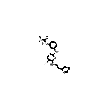 CN(C)C(=O)Nc1cccc(Nc2ncc(Br)c(NCCc3c[nH]cn3)n2)c1